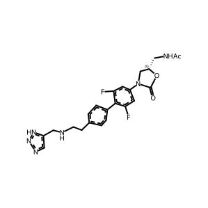 CC(=O)NC[C@H]1CN(c2cc(F)c(-c3ccc(CCNCc4cnn[nH]4)cc3)c(F)c2)C(=O)O1